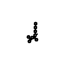 CC1CC2C(=CC1c1ccc(C3C=CC(c4ccccc4)=CC3)cc1)C1CCC(C)(N(C3=CCCC=C3)c3ccccc3)C=C1N2C1=CCCC=C1